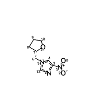 O=[N+]([O-])c1cn(C[C@@H]2CCCO2)cn1